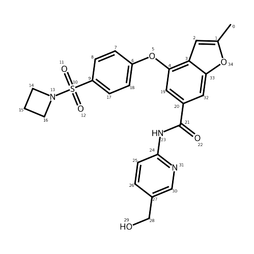 Cc1cc2c(Oc3ccc(S(=O)(=O)N4CCC4)cc3)cc(C(=O)Nc3ccc(CO)cn3)cc2o1